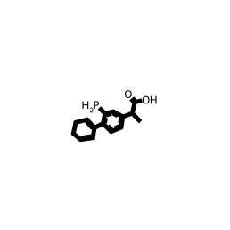 CC(C(=O)O)c1ccc(C2=CCCC=C2)c(P)c1